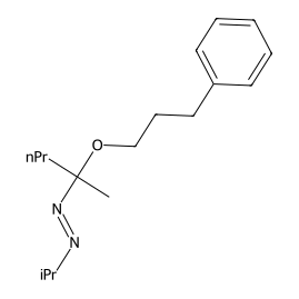 CCCC(C)(N=NC(C)C)OCCCc1ccccc1